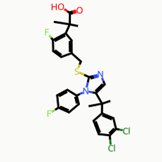 CC(C)(C(=O)O)c1cc(CSc2ncc(C(C)(C)c3ccc(Cl)c(Cl)c3)n2-c2ccc(F)cc2)ccc1F